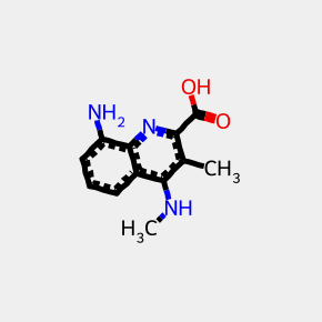 CNc1c(C)c(C(=O)O)nc2c(N)cccc12